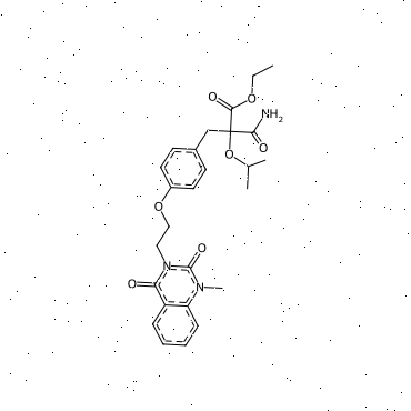 CCOC(=O)C(Cc1ccc(OCCn2c(=O)c3ccccc3n(C)c2=O)cc1)(OC(C)C)C(N)=O